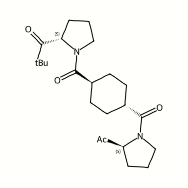 CC(=O)[C@@H]1CCCN1C(=O)[C@H]1CC[C@H](C(=O)N2CCC[C@H]2C(=O)C(C)(C)C)CC1